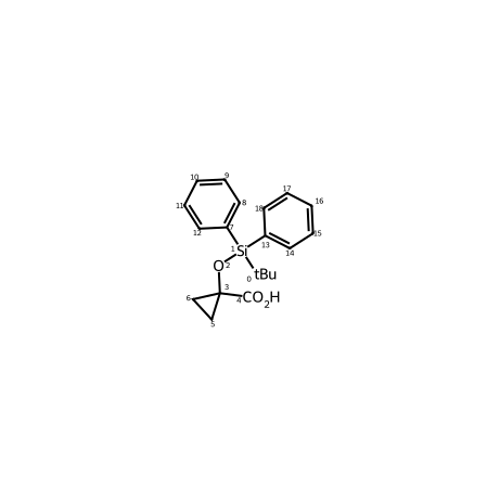 CC(C)(C)[Si](OC1(C(=O)O)CC1)(c1ccccc1)c1ccccc1